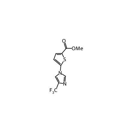 COC(=O)c1ccc(-n2cnc(C(F)(F)F)c2)s1